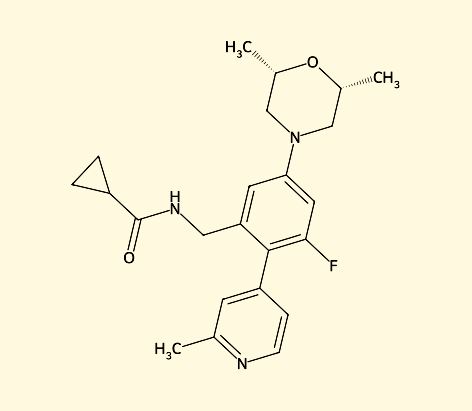 Cc1cc(-c2c(F)cc(N3C[C@@H](C)O[C@@H](C)C3)cc2CNC(=O)C2CC2)ccn1